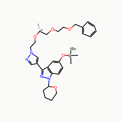 C[C@H](COCCOCc1ccccc1)OCCn1cc(-c2nn(C3CCCCO3)c3ccc(O[Si](C)(C)C(C)(C)C)cc23)cn1